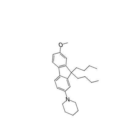 CCCCC1(CCCC)c2cc(OC)ccc2-c2ccc(N3CCCCC3)cc21